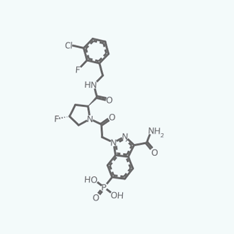 NC(=O)c1nn(CC(=O)N2C[C@H](F)C[C@H]2C(=O)NCc2cccc(Cl)c2F)c2cc(P(=O)(O)O)ccc12